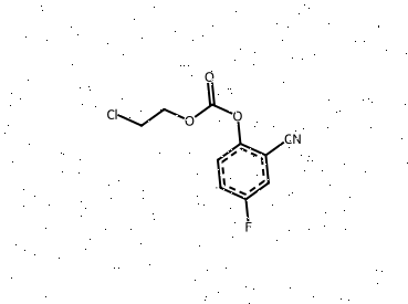 N#Cc1cc(F)[c]cc1OC(=O)OCCCl